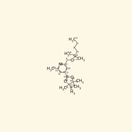 CCCC[Si](C)(C)OCc1cc(B2OC(C)(C)C(C)(C)O2)cc(C)n1